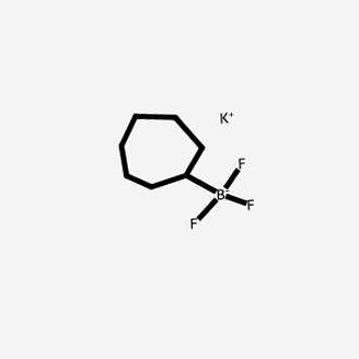 F[B-](F)(F)C1CCCCCC1.[K+]